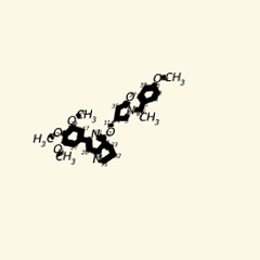 COc1ccc([C@H](C)N2C[C@H](COc3nc(-c4cc(OC)c(OC)c(OC)c4)cc4ncccc34)CC2=O)cc1